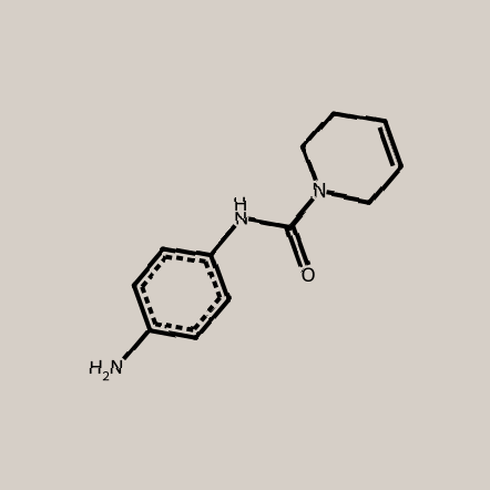 Nc1ccc(NC(=O)N2CC=CCC2)cc1